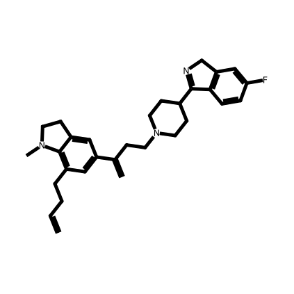 C=CCCc1cc(C(=C)CCN2CCC(C3=NCc4cc(F)ccc43)CC2)cc2c1N(C)CC2